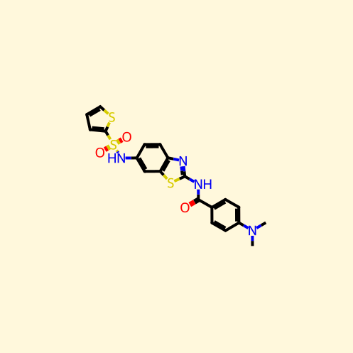 CN(C)c1ccc(C(=O)Nc2nc3ccc(NS(=O)(=O)c4cccs4)cc3s2)cc1